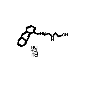 Cl.Cl.Cl.Cl.OCCNCCNCc1cccc2cc3ccccc3cc12